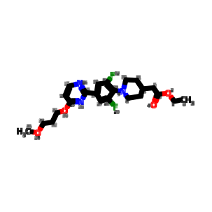 CCOC(=O)CC1CCN(c2c(F)cc(-c3nccc(OCCCOC)n3)cc2F)CC1